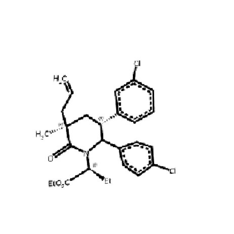 C=CC[C@@]1(C)C[C@H](c2cccc(Cl)c2)C(c2ccc(Cl)cc2)N([C@@H](CC)C(=O)OCC)C1=O